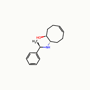 C[C@@H](N[C@H]1CC/C=C\CC[C@@H]1O)c1ccccc1